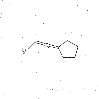 CC=C=C1CCCC1